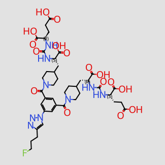 O=C(O)CC[C@H](NC(=O)N[C@H](CC1CCN(C(=O)c2cc(C(=O)N3CCC(C[C@H](NC(=O)N[C@H](CCC(=O)O)C(=O)O)C(=O)O)CC3)cc(-n3cc(CCCF)nn3)c2)CC1)C(=O)O)C(=O)O